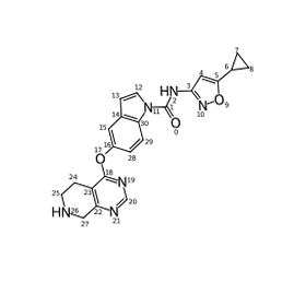 O=C(Nc1cc(C2CC2)on1)n1ccc2cc(Oc3ncnc4c3CCNC4)ccc21